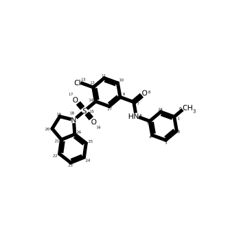 Cc1cccc(NC(=O)c2ccc(Cl)c(S(=O)(=O)N3CCc4ccccc43)c2)c1